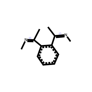 C/N=C(/C)c1ccccc1/C(C)=N\C